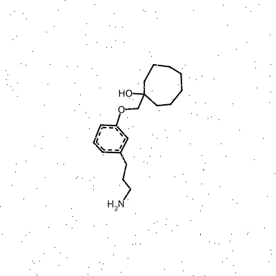 NCCCc1cccc(OCC2(O)CCCCCCC2)c1